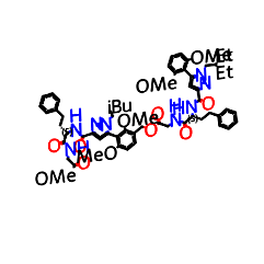 CCC(C)Cn1nc(C(=O)N[C@@H](CCc2ccccc2)C(=O)NCC(=O)OC)cc1-c1c(OC)ccc(COC(=O)CNC(=O)[C@H](CCc2ccccc2)NC(=O)c2cc(-c3c(OC)cccc3OC)n(CC(CC)CC)n2)c1OC